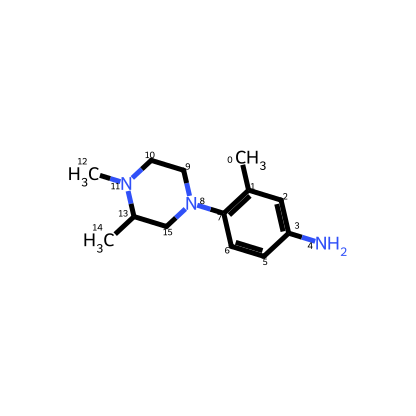 Cc1cc(N)ccc1N1CCN(C)C(C)C1